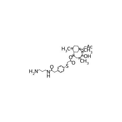 CC(=O)CC[C@]12CC[C@@H](C)C(C1)[C@H](OC(=O)CSc1ccc(CC(=O)NCCCN)cc1)C[C@@H](C)[C@@H](O)[C@@H]2C